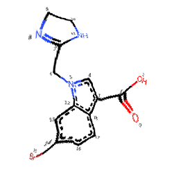 O=C(O)c1cn(CC2=NCCN2)c2cc(Br)ccc12